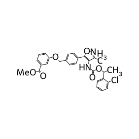 COC(=O)c1cccc(OCc2ccc(-c3onc(C)c3NC(=O)OC(C)c3ccccc3Cl)cc2)c1